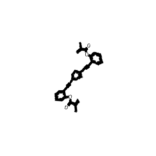 C=C(C)C(=O)Oc1ccccc1C#Cc1ccc(C#Cc2ccccc2OC(=O)C(=C)C)cc1